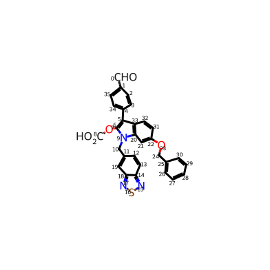 O=Cc1ccc(-c2c(OC(=O)O)n(Cc3ccc4nsnc4c3)c3cc(OCc4ccccc4)ccc23)cc1